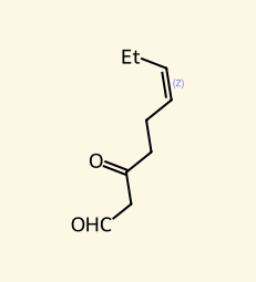 CC/C=C\CCC(=O)CC=O